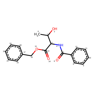 CC(O)C(NC(=O)c1ccccc1)C(=O)OCc1ccccc1